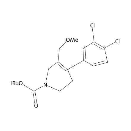 COCC1=C(c2ccc(Cl)c(Cl)c2)CCN(C(=O)OCC(C)C)C1